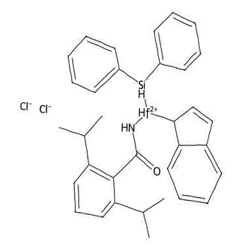 CC(C)c1cccc(C(C)C)c1C(=O)[NH][Hf+2]([CH]1C=Cc2ccccc21)[SiH](c1ccccc1)c1ccccc1.[Cl-].[Cl-]